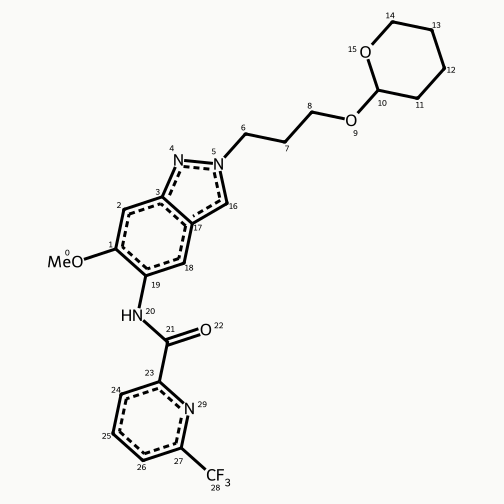 COc1cc2nn(CCCOC3CCCCO3)cc2cc1NC(=O)c1cccc(C(F)(F)F)n1